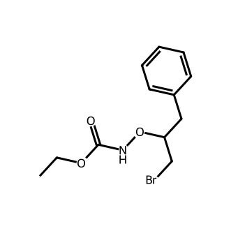 CCOC(=O)NOC(CBr)Cc1ccccc1